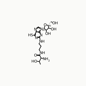 CC(O)C(N)C(=O)NCCCNc1nc(S)c2ncn([C@@H]3O[C@H](CO)C(O)C3O)c2n1